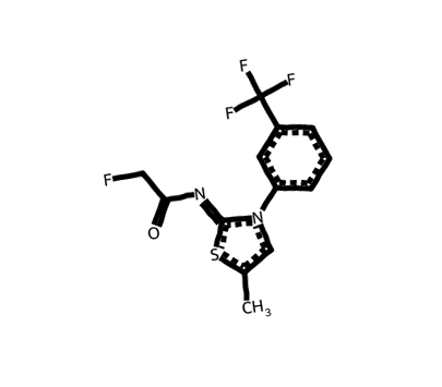 Cc1cn(-c2cccc(C(F)(F)F)c2)c(=NC(=O)CF)s1